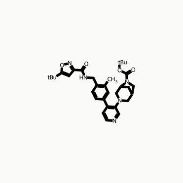 Cc1cc(-c2ccncc2N2CC3CC(C2)N(C(=O)OC(C)(C)C)C3)ccc1CNC(=O)c1cc(C(C)(C)C)on1